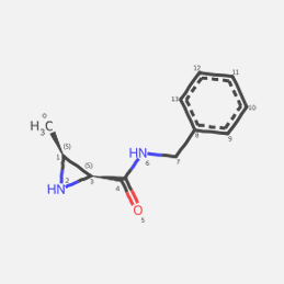 C[C@@H]1N[C@@H]1C(=O)NCc1ccccc1